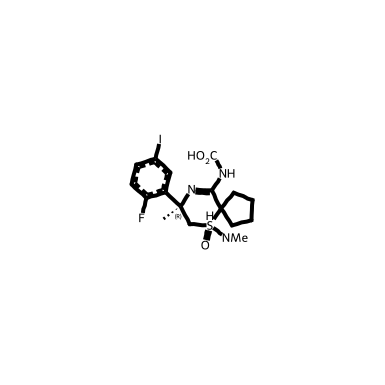 CN[SH]1(=O)C[C@@](C)(c2cc(I)ccc2F)N=C(NC(=O)O)C12CCCC2